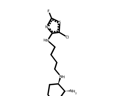 N[C@@H]1CCCC[C@H]1NCCCCNc1nc(F)sc1Cl